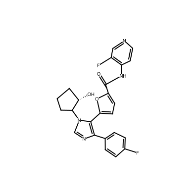 O=C(Nc1ccncc1F)c1ccc(-c2c(-c3ccc(F)cc3)ncn2C2CCC[C@@H]2O)o1